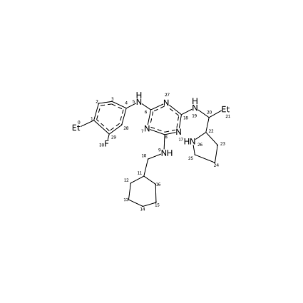 CCc1ccc(Nc2nc(NCC3CCCCC3)nc(NC(CC)C3CCCN3)n2)cc1F